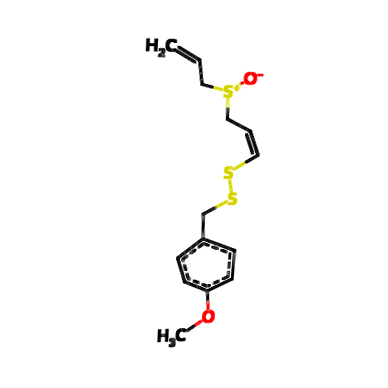 C=CC[S+]([O-])C/C=C\SSCc1ccc(OC)cc1